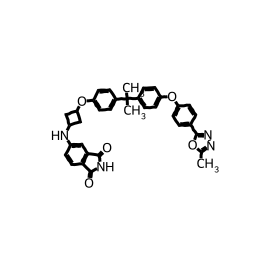 Cc1nnc(-c2ccc(Oc3ccc(C(C)(C)c4ccc(OC5CC(Nc6ccc7c(c6)C(=O)NC7=O)C5)cc4)cc3)cc2)o1